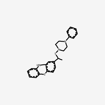 CC(SN1CCN(c2ccccc2)CC1)c1ccc2c(c1)Nc1ccccc1S2